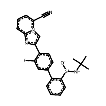 CC(C)(C)N[S+]([O-])c1ccccc1-c1ccc(-c2cn3c(C#N)cccc3n2)c(F)c1